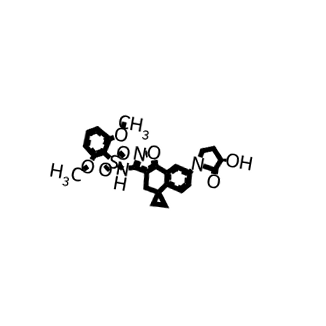 COc1cccc(OC)c1S(=O)(=O)Nc1noc2c1CC1(CC1)c1ccc(N3CC[C@@H](O)C3=O)cc1-2